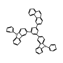 c1ccc(-n2c3ccccc3c3cc(-c4cc(-c5ccc6ccc7ccccc7c6c5)cc(-c5ccc6c(c5)c5ccccc5n6-c5ccccc5)c4)ccc32)cc1